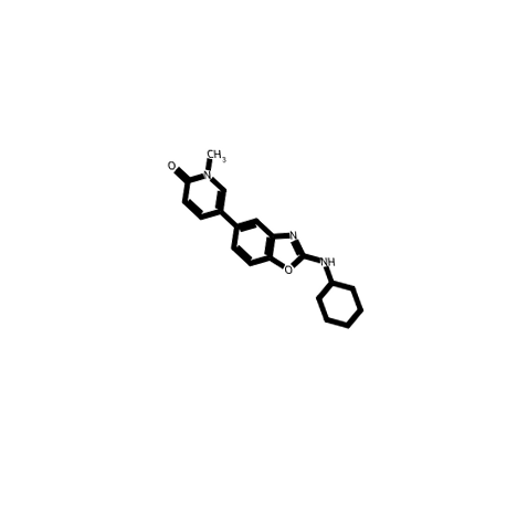 Cn1cc(-c2ccc3oc(NC4CCCCC4)nc3c2)ccc1=O